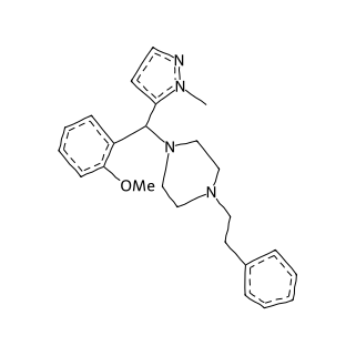 COc1ccccc1C(c1ccnn1C)N1CCN(CCc2ccccc2)CC1